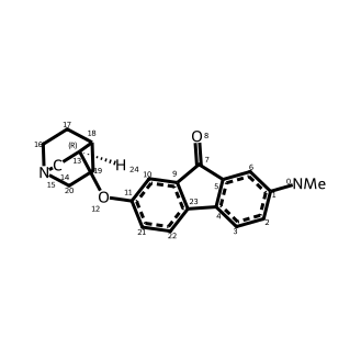 CNc1ccc2c(c1)C(=O)c1cc(O[C@H]3CN4CCC3CC4)ccc1-2